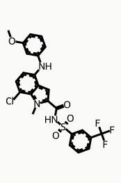 COc1cccc(Nc2ccc(Cl)c3c2cc(C(=O)NS(=O)(=O)c2cccc(C(F)(F)F)c2)n3C)c1